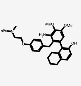 CCCN(C)CCOc1ccc(Cc2c(-c3c(O)ccc4c3CCCC4)cc(OC)c(OC)c2N)cc1